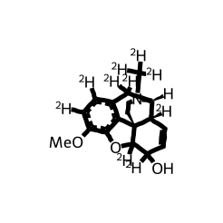 [2H]c1c([2H])c2c3c(c1OC)OC1([2H])C([2H])(O)C=C[C@@]4([2H])[C@H](N(C([2H])([2H])[2H])CC[C@]314)C2([2H])[2H]